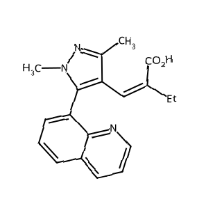 CCC(=Cc1c(C)nn(C)c1-c1cccc2cccnc12)C(=O)O